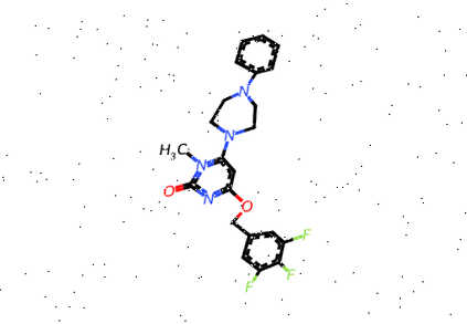 Cn1c(N2CCN(c3ccccc3)CC2)cc(OCc2cc(F)c(F)c(F)c2)nc1=O